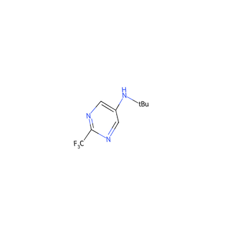 CC(C)(C)Nc1cnc(C(F)(F)F)nc1